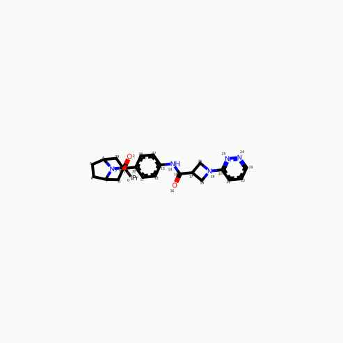 CC(C)C(=O)N1C2CCC1CC(c1ccc(NC(=O)C3CN(c4cccnn4)C3)cc1)C2